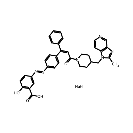 Cc1nc2cnccc2n1CC1CCN(C(=O)C=C(c2ccccc2)c2ccc(N=Nc3ccc(O)c(C(=O)O)c3)cc2)CC1.[NaH]